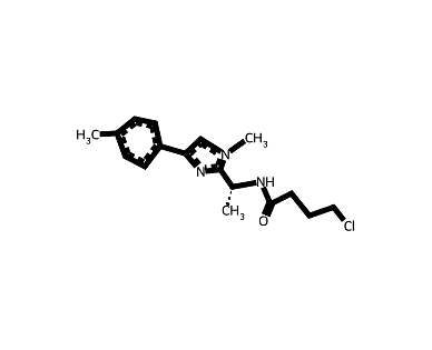 Cc1ccc(-c2cn(C)c([C@@H](C)NC(=O)CCCCl)n2)cc1